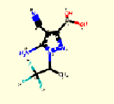 CC(n1nc(B(O)O)c(C#N)c1N)C(F)(F)F